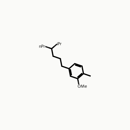 CCCC(CCCc1ccc(C)c(OC)c1)C(C)C